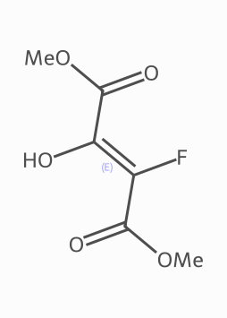 COC(=O)/C(O)=C(\F)C(=O)OC